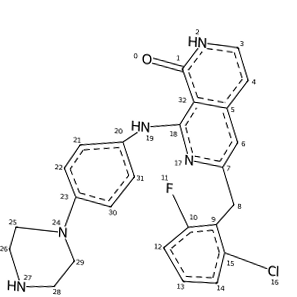 O=c1[nH]ccc2cc(Cc3c(F)cccc3Cl)nc(Nc3ccc(N4CCNCC4)cc3)c12